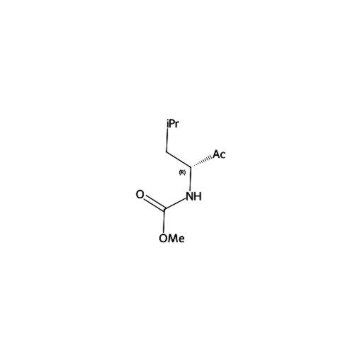 COC(=O)N[C@H](CC(C)C)C(C)=O